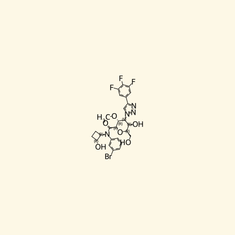 CO[C@@H]1[C@@H](n2cc(-c3cc(F)c(F)c(F)c3)nn2)[C@@H](O)[C@@H](CO)O[C@H]1C(=O)N(c1cccc(Br)c1)[C@@H]1CC[C@H]1O